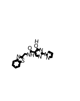 O=C(NCc1nc2ccccc2s1)c1cnc(-n2cccn2)nc1O